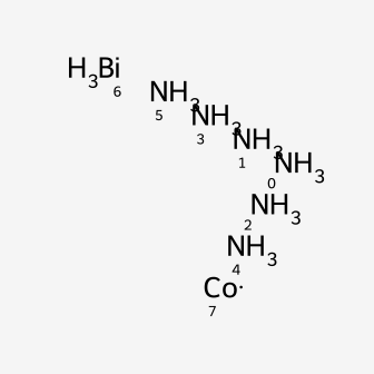 N.N.N.N.N.N.[BiH3].[Co]